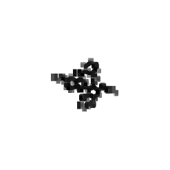 COc1cc(OC)c(Cl)c(-c2nc(NC3CCOCC3)c3cc(N)ncc3n2)c1C